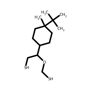 CC(C)(C)C1(C)CCC(C(CS)OCS)CC1